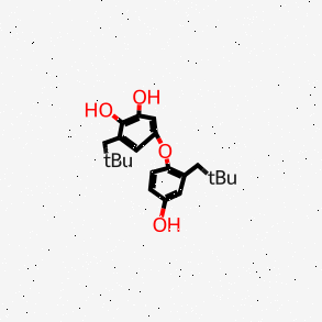 CC(C)(C)Cc1cc(O)ccc1Oc1cc(O)c(O)c(CC(C)(C)C)c1